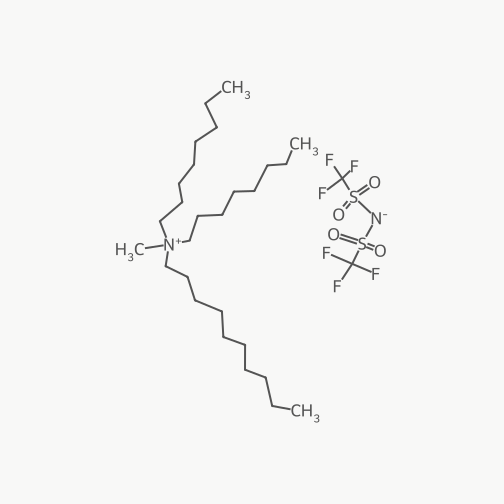 CCCCCCCCCC[N+](C)(CCCCCCCC)CCCCCCCC.O=S(=O)([N-]S(=O)(=O)C(F)(F)F)C(F)(F)F